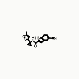 Cc1cc(C2(NC(=O)c3cc4cc(C#N)ccc4[nH]3)CC2)no1